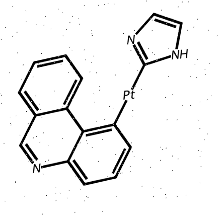 c1ccc2c(c1)cnc1ccc[c]([Pt][c]3ncc[nH]3)c12